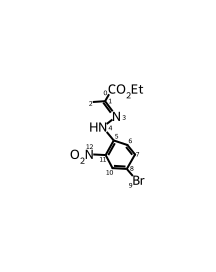 CCOC(=O)C(C)=NNc1ccc(Br)cc1[N+](=O)[O-]